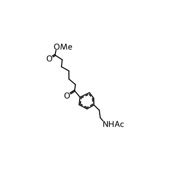 COC(=O)CCCCCC(=O)c1ccc(CCNC(C)=O)cc1